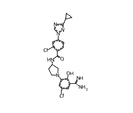 N=C(N)c1cc(Cl)cc(N2CC[C@@H](NC(=O)c3ccc(-n4cnc(C5CC5)n4)cc3Cl)C2)c1O